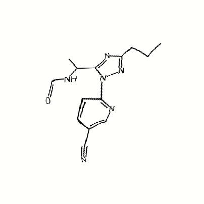 CCCc1nc(C(C)NC=O)n(-c2ccc(C#N)cn2)n1